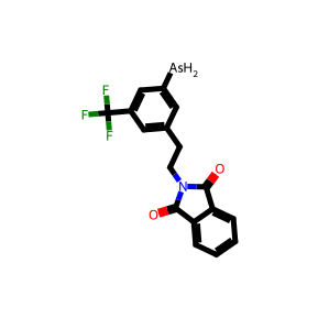 O=C1c2ccccc2C(=O)N1CCc1cc([AsH2])cc(C(F)(F)F)c1